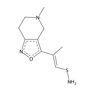 C/C(=C\SN)c1onc2c1CN(C)CC2